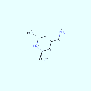 CCOC(=O)[C@H](CCCN)N[C@@H](C)C(=O)O